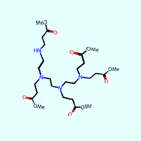 COC(=O)CCNCCN(CCC(=O)OC)CCN(CCC(=O)OC)CCN(CCC(=O)OC)CCC(=O)OC